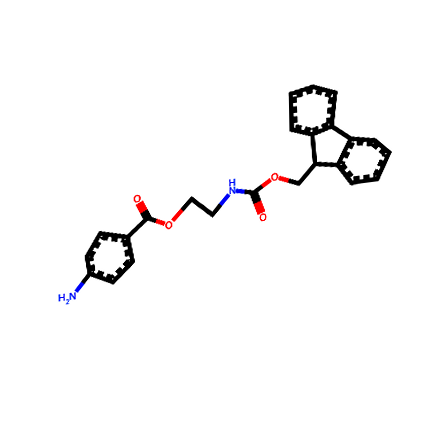 Nc1ccc(C(=O)OCCNC(=O)OCC2c3ccccc3-c3ccccc32)cc1